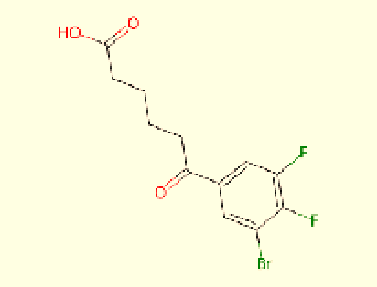 O=C(O)CCCCC(=O)c1cc(F)c(F)c(Br)c1